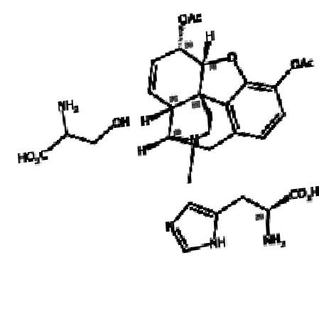 CC(=O)Oc1ccc2c3c1O[C@H]1[C@@H](OC(C)=O)C=C[C@H]4[C@@H](C2)N(C)CC[C@@]341.NC(CO)C(=O)O.N[C@@H](Cc1cnc[nH]1)C(=O)O